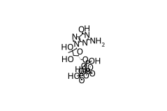 CC1(O)C(O)[C@@H](COP(=O)(O)OP(=O)(O)OP(=O)(O)O)O[C@H]1n1cnc2c(=O)[nH]c(N)nc21